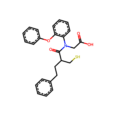 O=C(O)CN(C(=O)C(CS)CCc1ccccc1)c1ccccc1Oc1ccccc1